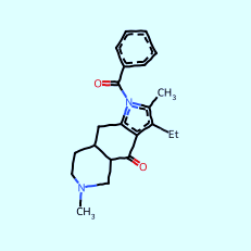 CCc1c2c(n(C(=O)c3ccccc3)c1C)CC1CCN(C)CC1C2=O